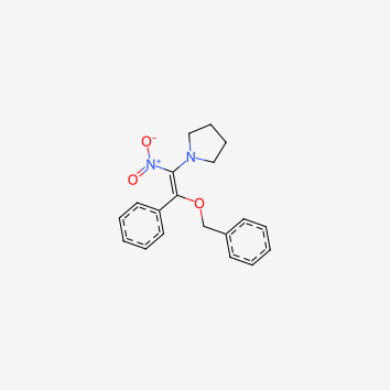 O=[N+]([O-])/C(=C(/OCc1ccccc1)c1ccccc1)N1CCCC1